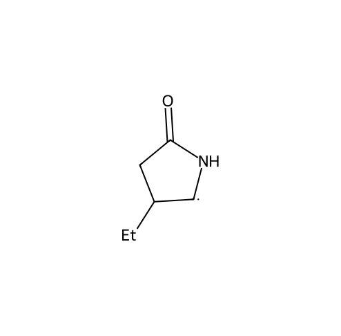 CCC1[CH]NC(=O)C1